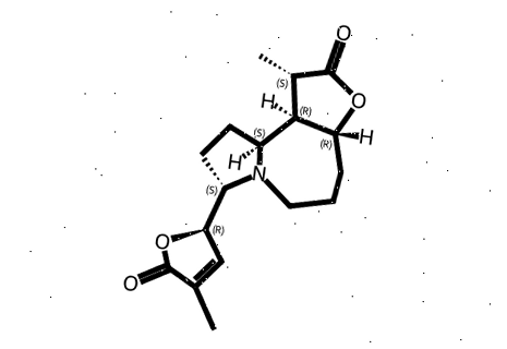 CC1=C[C@H]([C@@H]2CC[C@H]3[C@H]4[C@H](C)C(=O)O[C@@H]4CCCN32)OC1=O